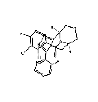 O=C(c1ccc(F)c(Cl)c1Cl)N1[C@H]2COC[C@@H]1c1nnc(-c3ncccc3F)n1C2